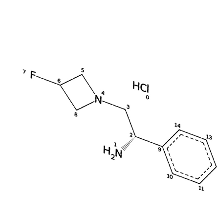 Cl.N[C@H](CN1CC(F)C1)c1ccccc1